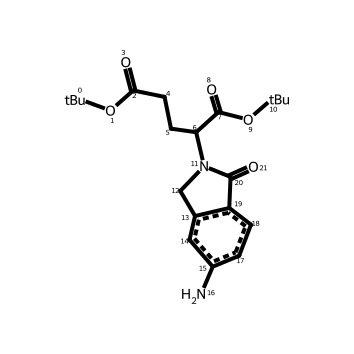 CC(C)(C)OC(=O)CCC(C(=O)OC(C)(C)C)N1Cc2cc(N)ccc2C1=O